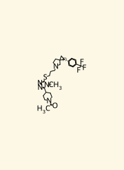 CC(=O)N1CCC(c2nnc(SCCCN3CCC4(C[C@@H]4c4ccc(C(F)(F)F)cc4)C3)n2C)CC1